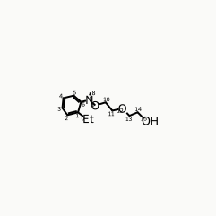 CCc1ccccc1N(C)OCCOCCO